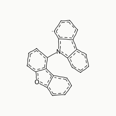 [c]1cccc2c3ccccc3n(-c3cccc4oc5ccccc5c34)c12